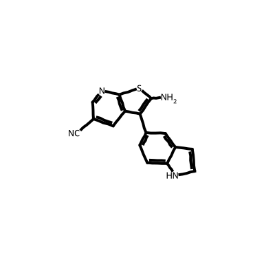 N#Cc1cnc2sc(N)c(-c3ccc4[nH]ccc4c3)c2c1